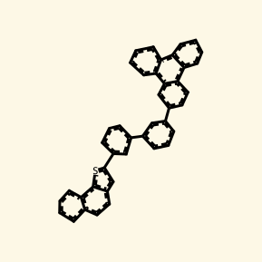 c1cc(-c2cccc(-c3cc4ccc5ccccc5c4s3)c2)cc(-c2ccc3c4ccccc4c4ccccc4c3c2)c1